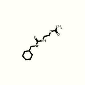 CC(=O)OCCNC(=S)NCC1CCCCC1